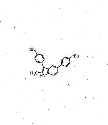 Cc1[nH]c2ccc(-c3ccc(C(C)(C)C)cc3)cc2c1-c1ccc(C(C)(C)C)cc1